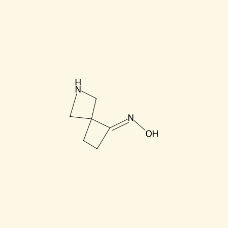 O/N=C1\CCC12CNC2